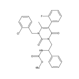 Cc1c(-c2ccccc2F)c(=O)n(CC(NC(=O)OC(C)(C)C)c2ccccc2)c(=O)n1Cc1ccccc1Cl